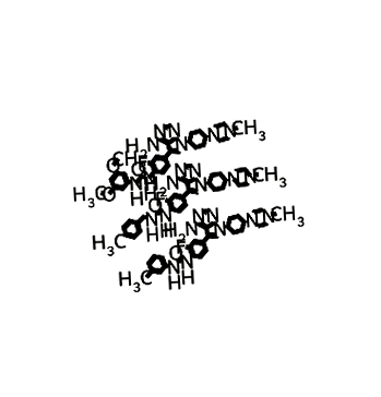 COc1cc(NC(=O)Nc2ccc(-c3cn([C@H]4CC[C@@H](N5CCN(C)CC5)CC4)c4ncnc(N)c34)cc2F)cc(OC)c1.Cc1ccc(CNC(=O)Nc2ccc(-c3cn([C@H]4CC[C@@H](N5CCN(C)CC5)CC4)c4ncnc(N)c34)cc2F)cc1.Cc1cccc(NC(=O)Nc2ccc(-c3cn([C@H]4CC[C@@H](N5CCN(C)CC5)CC4)c4ncnc(N)c34)cc2F)c1